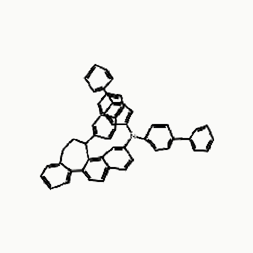 c1ccc(-c2ccc(N(c3ccc(-c4ccccc4)cc3)c3ccc4ccc5c(c4c3)C(c3ccc4ccccc4c3)CCc3ccccc3-5)cc2)cc1